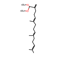 C=C(CC/C=C(\C)CC/C=C(\C)CCC=C(C)C)C(OCCCC)OCCCC